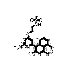 CS(=O)(=O)NCCSc1cc(-c2c(Cl)cc3c4c(cccc24)COC3)nc(N)n1